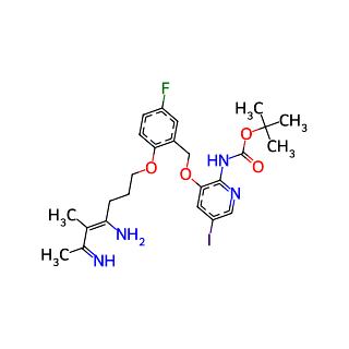 CC(=N)/C(C)=C(\N)CCCOc1ccc(F)cc1COc1cc(I)cnc1NC(=O)OC(C)(C)C